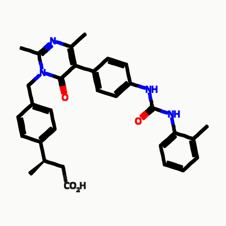 Cc1ccccc1NC(=O)Nc1ccc(-c2c(C)nc(C)n(Cc3ccc([C@H](C)CC(=O)O)cc3)c2=O)cc1